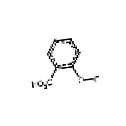 O=C(O)c1ccccc1OF